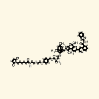 Cc1c(-c2ccc(-c3cnc4cccc(C(=O)Nc5nc6ccccc6s5)c4c3)nc2C(=O)O)cnn1CC12CC3(C)CC(C)(C1)CC(OCCN(C)C(=O)OCc1[c]cc(OCCOCCNC(=O)CCCCCN4C(=O)C=CC4=O)cc1)(C3)C2